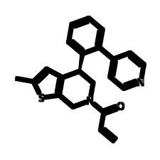 C=CC(=O)N1Cc2sc(C)cc2[C@@H](c2ccccc2-c2ccncc2)C1